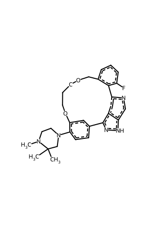 CN1CCN(c2ccc3cc2OCCCOCc2cccc(F)c2-c2cc4c-3n[nH]c4cn2)CC1(C)C